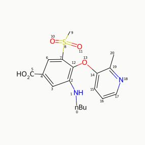 CCCCNc1cc(C(=O)O)cc(S(C)(=O)=O)c1Oc1cccnc1C